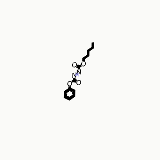 CCCCCOC(=O)/N=N/C(=O)Oc1ccccc1